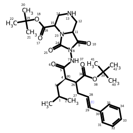 CC(C)C[C@@H](C(=O)NN1C(=O)C2CNCC(C(=O)OC(C)(C)C)N2C1=O)C(C/C=C/c1ccccc1)C(=O)OC(C)(C)C